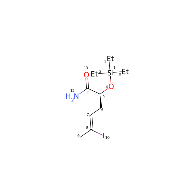 CC[Si](CC)(CC)O[C@@H](CC=C(C)I)C(N)=O